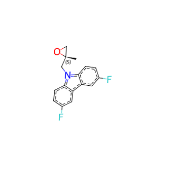 C[C@]1(Cn2c3ccc(F)cc3c3cc(F)ccc32)CO1